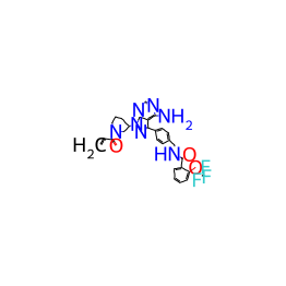 C=CC(=O)N1CCCC(n2nc(-c3ccc(CNC(=O)c4ccccc4OC(F)(F)F)cc3)c3c(N)ncnc32)C1